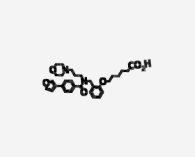 O=C(O)CCCCCOc1ccccc1CN(CCCN1CCOCC1)C(=O)c1ccc(-c2ccoc2)cc1